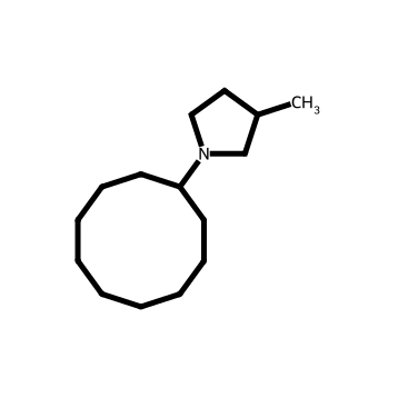 CC1CCN(C2CCCCCCCCC2)C1